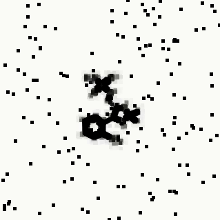 CC1(C)O[C@@H](COS(N)(=O)=O)[C@H](c2ccccc2N)O1